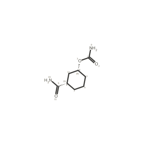 NC(=O)O[C@@H]1CCC[C@H](C(N)=O)C1